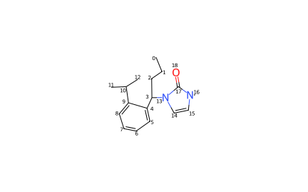 CCCC(c1ccccc1C(C)C)N1C=C[N]C1=O